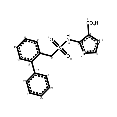 O=C(O)c1ncsc1NS(=O)(=O)Cc1ccccc1-c1ccccc1